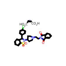 O=C(O)/C=C\C(=O)O.O=C1c2ccccc2C(=O)N1CCN1CCC(N2C(c3ccc(Cl)cc3)c3ccccc3S2(=O)=O)CC1